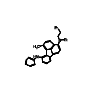 CCN(CCC(C)C)c1ccc2c3c(c(C)ccc13)-c1c(Nc3ccccc3)cccc1-2